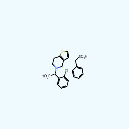 O=C(O)[C@H](c1ccccc1Cl)N1CCc2sccc2C1.O=S(=O)(O)Cc1ccccc1